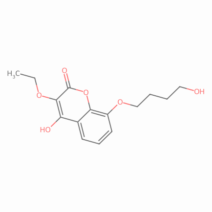 CCOc1c(O)c2cccc(OCCCCO)c2oc1=O